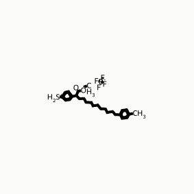 CCOC(=O)C(CCCCCCCCCCCc1ccc(C)cc1)c1ccc([SH2+])cc1.F[B-](F)(F)F